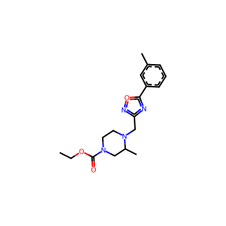 CCOC(=O)N1CCN(Cc2noc(-c3cccc(C)c3)n2)C(C)C1